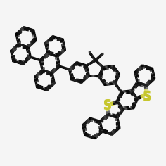 CC1(C)c2ccc(-c3c4sc5c6ccccc6ccc5c4cc4sc5ccccc5c34)cc2-c2ccc(-c3c4ccccc4c(-c4cccc5ccccc45)c4ccccc34)cc21